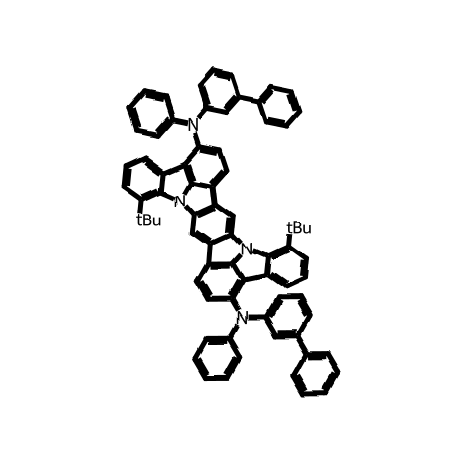 CC(C)(C)c1cccc2c3c(N(c4ccccc4)c4cccc(-c5ccccc5)c4)ccc4c5cc6c(cc5n(c12)c43)c1ccc(N(c2ccccc2)c2cccc(-c3ccccc3)c2)c2c3cccc(C(C)(C)C)c3n6c12